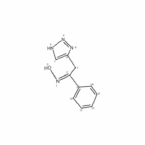 ON=C(Cc1c[nH]nn1)c1ccccc1